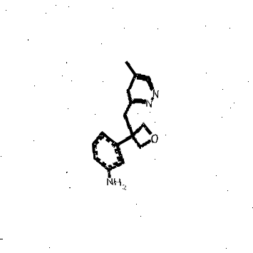 CC1=C=NN=C(CC2(c3cccc(N)c3)COC2)C1